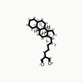 C[C@H](CCCC(C=O)C=O)[C@H]1CC[C@H]2[C@@H]3CCC4CCCC[C@]4(C)[C@H]3CC[C@]12C